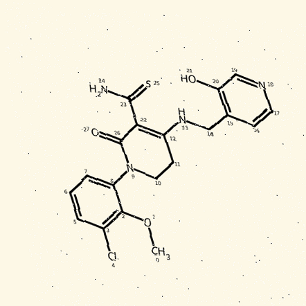 COc1c(Cl)cccc1N1CCC(NCc2ccncc2O)=C(C(N)=S)C1=O